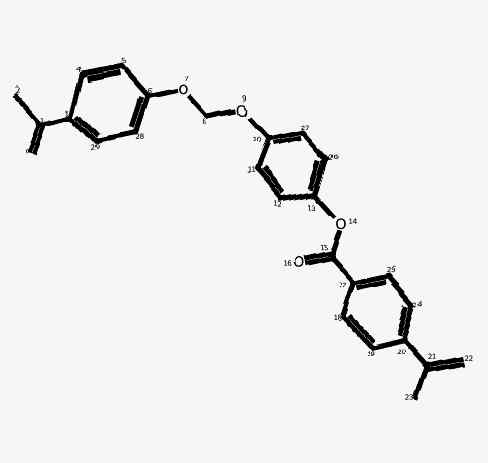 C=C(C)c1ccc(OCOc2ccc(OC(=O)c3ccc(C(=C)C)cc3)cc2)cc1